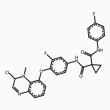 CN1c2c(cccc2Oc2ccc(NC(=O)C3(C(=O)Nc4ccc(F)cc4)CC3)cc2F)N=CC1Cl